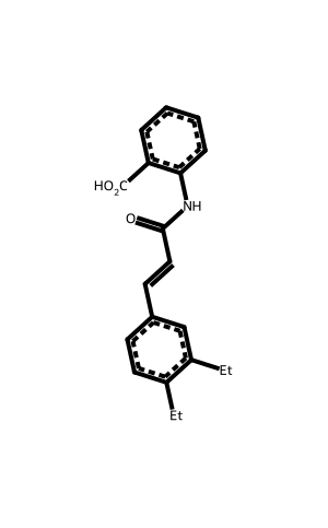 CCc1ccc(C=CC(=O)Nc2ccccc2C(=O)O)cc1CC